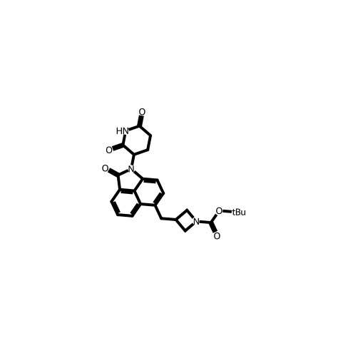 CC(C)(C)OC(=O)N1CC(Cc2ccc3c4c(cccc24)C(=O)N3C2CCC(=O)NC2=O)C1